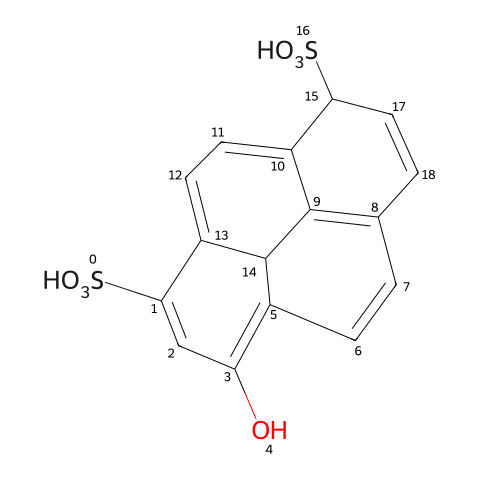 O=S(=O)(O)C1=CC(O)=C2C=CC3=C4C(=CC=C1C24)C(S(=O)(=O)O)C=C3